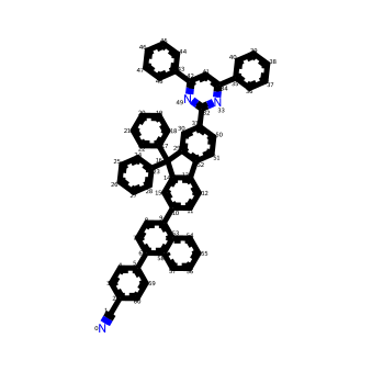 N#Cc1ccc(-c2ccc(-c3ccc4c(c3)C(c3ccccc3)(c3ccccc3)c3cc(-c5nc(-c6ccccc6)cc(-c6ccccc6)n5)ccc3-4)c3ccccc23)cc1